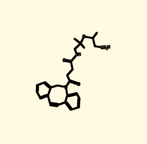 CC(CC(=O)O)OC(C)(C)CNC(=O)CCC(=O)N1Cc2ccccc2C#Cc2ccccc21